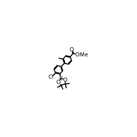 COC(=O)c1ccc(-c2ccc(Cl)c(B3OC(C)(C)C(C)(C)O3)c2)c(C)c1